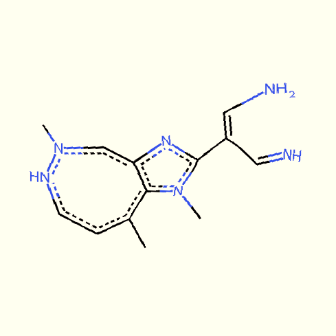 Cc1cc[nH]n(C)cc2nc(/C(C=N)=C/N)n(C)c12